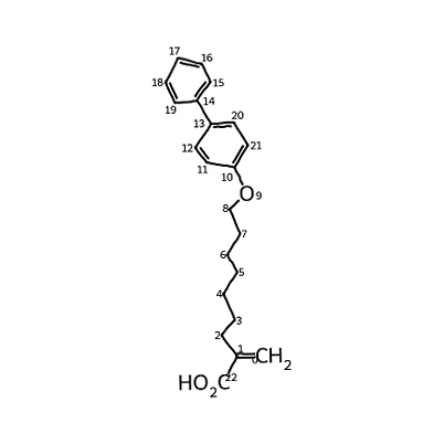 C=C(CCCCCCCOc1ccc(-c2ccccc2)cc1)C(=O)O